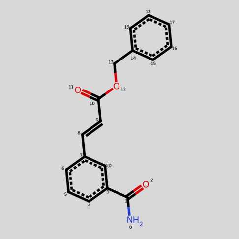 NC(=O)c1cccc(C=CC(=O)OCc2ccccc2)c1